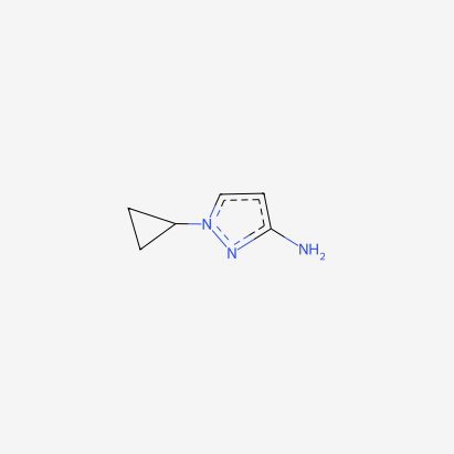 Nc1ccn(C2CC2)n1